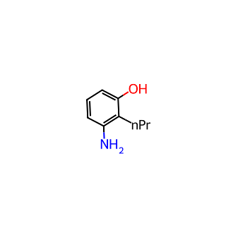 CCCc1c(N)cccc1O